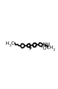 C=CC(=O)NC1CCC(c2ccc(-c3ccc(C4CCC(CCCCC)CC4)cc3F)cc2)CC1